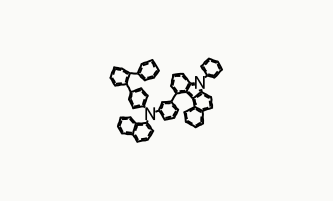 c1ccc(-c2ccccc2-c2ccc(N(c3cccc(-c4cccc5c4c4c6ccccc6ccc4n5-c4ccccc4)c3)c3cccc4ccccc34)cc2)cc1